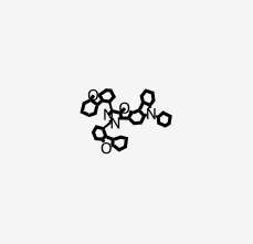 c1ccc(-n2c3ccccc3c3c4oc5c(-c6cccc7oc8ccccc8c67)nc(-c6cccc7oc8ccccc8c67)nc5c4ccc32)cc1